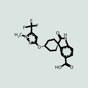 Cn1nc(O[C@H]2CC[C@@]3(CC2)C(=O)Nc2ccc(C(=O)O)cc23)cc1C(F)(F)F